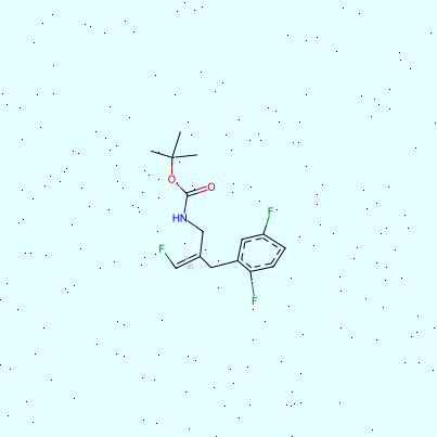 CC(C)(C)OC(=O)NC/C(=C\F)Cc1cc(F)ccc1F